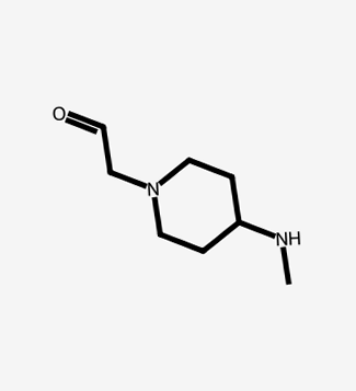 CNC1CCN(CC=O)CC1